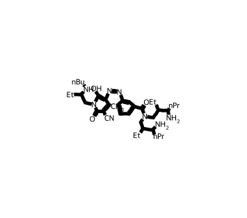 CCCCNC(CC)Cn1c(O)c(/N=N\c2cccc(C(=O)N(CC(CC)C(N)CCC)CC(CC)C(N)CCC)c2)c(C)c(C#N)c1=O